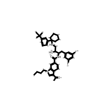 CCCCn1cc(C(C)=O)c2ccc(C(=O)NC(Cc3cc(F)cc(F)c3)C(O)CNC3(c4cccc(C(C)(C)C)c4)CCCCC3)cc21